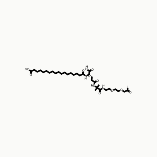 CC(C)(NC(=O)CC[C@H](NC(=O)CCCCCCCCCCCCCCCCC(=O)O)C(=O)O)C(=O)NCCOCCOCC(=O)I